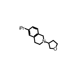 CC(C)c1ccc2c(c1)CCN(C1CCOC1)C2